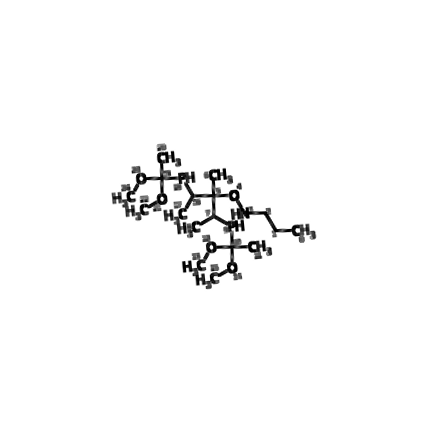 CCCNOC(C)(C(C)PC(C)(OC)OC)C(C)PC(C)(OC)OC